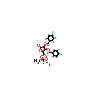 CC1(C)OC[C@@H]([C@H]2OC(=O)C(OCc3ccc(F)cc3)=C2OCc2ccc(F)cc2)O1